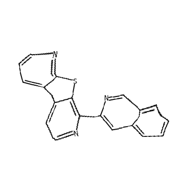 c1ccc2cc(-c3nccc4c3sc3ncccc34)ncc2c1